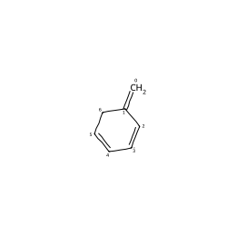 C=C1C=[C]C=CC1